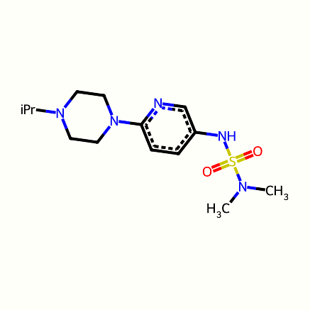 CC(C)N1CCN(c2ccc(NS(=O)(=O)N(C)C)cn2)CC1